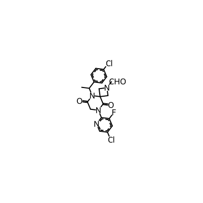 CC(c1ccc(Cl)cc1)N1C(=O)CN(c2ncc(Cl)cc2F)C(=O)C12CN(C=O)C2